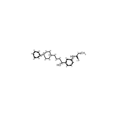 CCC(=S)Nc1cccc(C(O)CCCN2CCN(c3ccccc3)CC2)c1